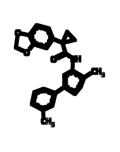 Cc1cccc(-c2ccc(C)c(NC(=O)C3(c4ccc5c(c4)OCO5)CC3)c2)c1